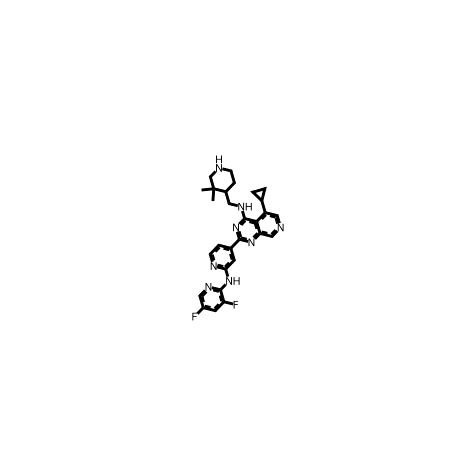 CC1(C)CNCCC1CNc1nc(-c2ccnc(Nc3ncc(F)cc3F)c2)nc2cncc(C3CC3)c12